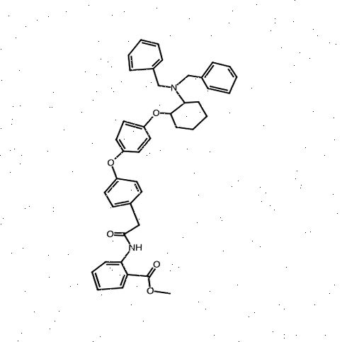 COC(=O)c1ccccc1NC(=O)Cc1ccc(Oc2ccc(OC3CCCCC3N(Cc3ccccc3)Cc3ccccc3)cc2)cc1